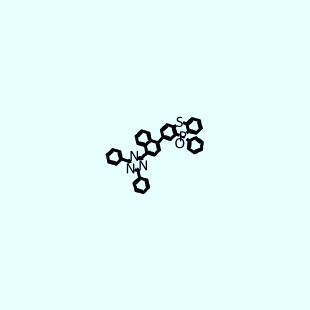 O=P1(c2ccccc2)c2ccccc2Sc2ccc(-c3ccc(-c4nc(-c5ccccc5)nc(-c5ccccc5)n4)c4ccccc34)cc21